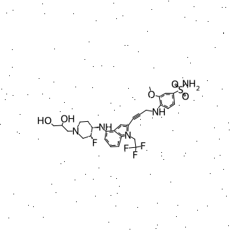 COc1cc(S(N)(=O)=O)ccc1NCC#Cc1cc2c(N[C@@H]3CCN(CC(O)CO)C[C@@H]3F)cccc2n1CC(F)(F)F